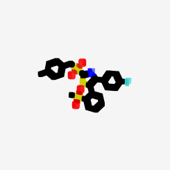 Cc1ccc(CS(=O)(=O)c2nc(-c3ccc(F)cc3)c(-c3ccccc3S(C)(=O)=O)s2)cc1